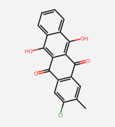 Cc1cc2c(cc1Cl)C(=O)c1c(c(O)c3ccccc3c1O)C2=O